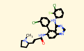 CN1CCCC1/C=C/C(=O)Nc1ccc2ncnc(Nc3cccc(Cl)c3F)c2c1-c1cccc(Cl)c1